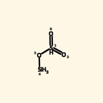 O=[SH](=O)O[SiH3]